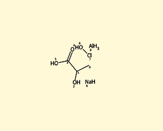 CC(O)C(=O)O.OCl.[AlH3].[NaH]